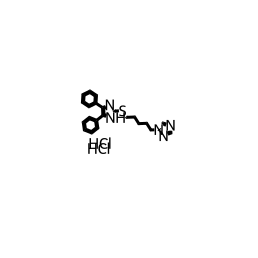 Cl.Cl.c1ccc(-c2nc(SCCCCCn3cncn3)[nH]c2-c2ccccc2)cc1